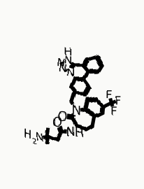 CC(C)(N)CC(=O)N[C@@H]1CCc2cc(C(F)(F)F)ccc2N(Cc2ccc(-c3ccccc3-c3nnn[nH]3)cc2)C1=O